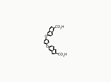 O=C(O)c1ccc2cc(Oc3ccc(Oc4ccc5cc(C(=O)O)ccc5c4)cc3)ccc2c1